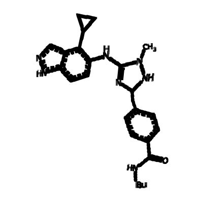 CCC(C)NC(=O)c1ccc(C2N=C(Nc3ccc4[nH]ncc4c3C3CC3)N(C)N2)cc1